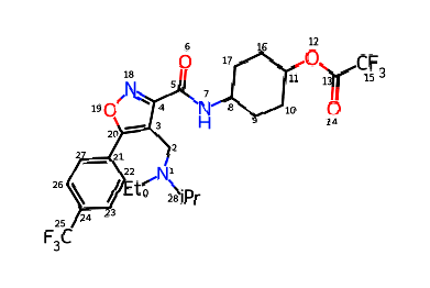 CCN(Cc1c(C(=O)NC2CCC(OC(=O)C(F)(F)F)CC2)noc1-c1ccc(C(F)(F)F)cc1)C(C)C